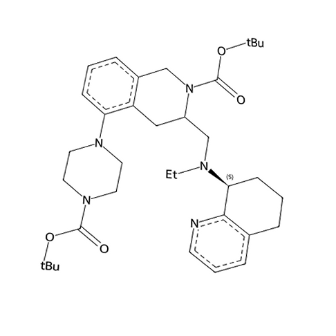 CCN(CC1Cc2c(cccc2N2CCN(C(=O)OC(C)(C)C)CC2)CN1C(=O)OC(C)(C)C)[C@H]1CCCc2cccnc21